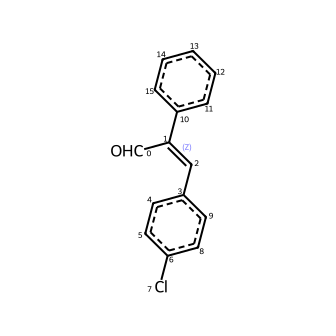 O=C/C(=C\c1ccc(Cl)cc1)c1ccccc1